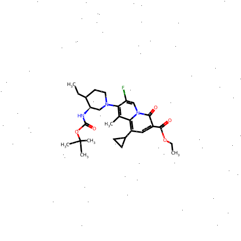 CCOC(=O)c1cc(C2CC2)c2c(C)c(N3CCC(CC)[C@H](NC(=O)OC(C)(C)C)C3)c(F)cn2c1=O